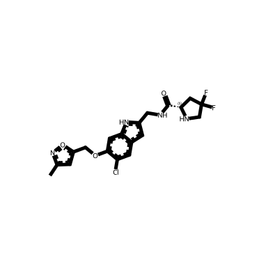 Cc1cc(COc2cc3[nH]c(CNC(=O)[C@@H]4CC(F)(F)CN4)cc3cc2Cl)on1